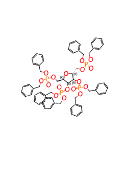 O=P(OCc1ccccc1)(OCc1ccccc1)OC[C@H]1O[C@H](COP(=O)(OCc2ccccc2)OCc2ccccc2)[C@@H](OP(=O)(OCc2ccccc2)OCc2ccccc2)[C@@H]1OP(=O)(OCc1ccccc1)OCc1ccccc1